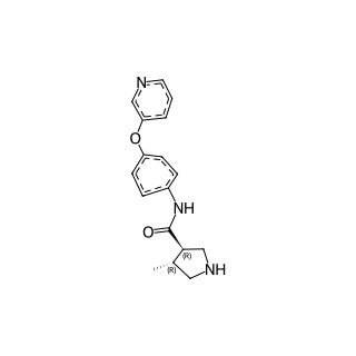 C[C@H]1CNC[C@@H]1C(=O)Nc1ccc(Oc2cccnc2)cc1